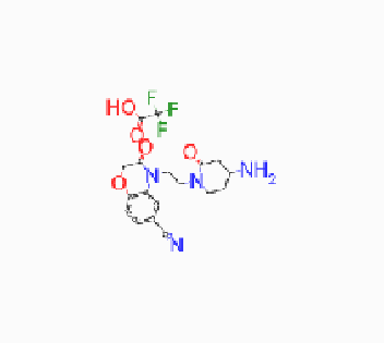 N#Cc1ccc2c(c1)N(CCN1CCC(N)CC1=O)C(=O)CO2.O=C(O)C(F)(F)F